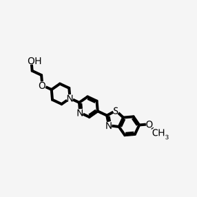 COc1ccc2nc(-c3ccc(N4CCC(OCCO)CC4)nc3)sc2c1